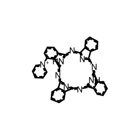 c1cc[n+](-c2cccc3c4nc5nc(nc6[nH]c(nc7nc(nc([nH]4)c23)-c2ccccc2-7)c2ccccc62)-c2ccccc2-5)cc1